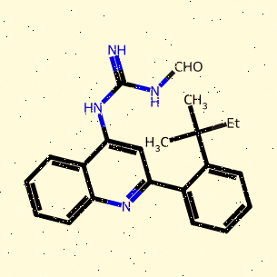 CCC(C)(C)c1ccccc1-c1cc(NC(=N)NC=O)c2ccccc2n1